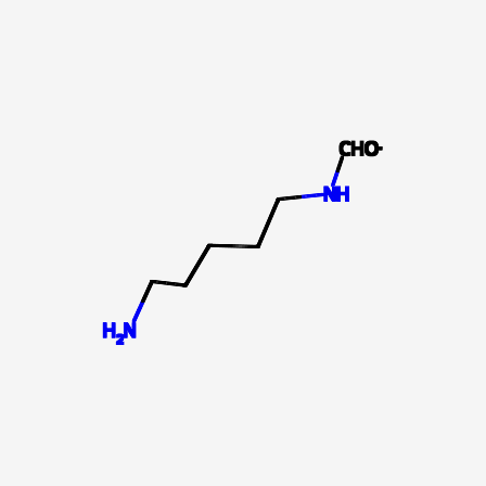 NCCCCCN[C]=O